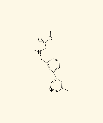 COC(=O)CN(C)Cc1cccc(-c2cncc(C)c2)c1